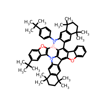 CC(C)(C)c1ccc(N2B3c4oc5ccc(C(C)(C)C)cc5c4-n4c5cc6c(cc5c5c7oc8ccccc8c7c(c3c54)-c3cc4c(cc32)C(C)(C)CCC4(C)C)C(C)(C)CCC6(C)C)cc1